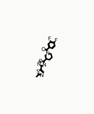 Cc1ncc(-c2noc(C3CCCN(C(=O)c4ccc(F)c(F)c4)C3)n2)s1